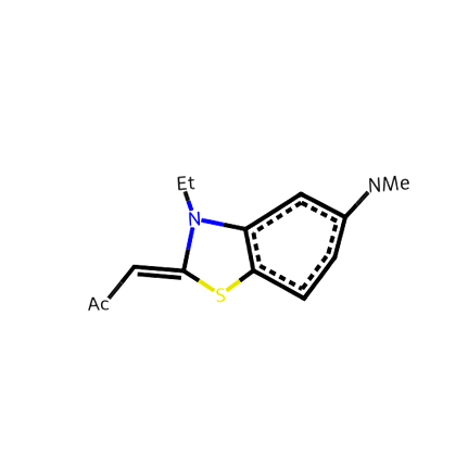 CCN1/C(=C/C(C)=O)Sc2ccc(NC)cc21